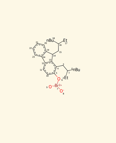 CCCCC(CC)Cc1c(O[Br+2]([O-])[O-])ccc2c1C(CC(CC)CCCC)c1ccccc1-2